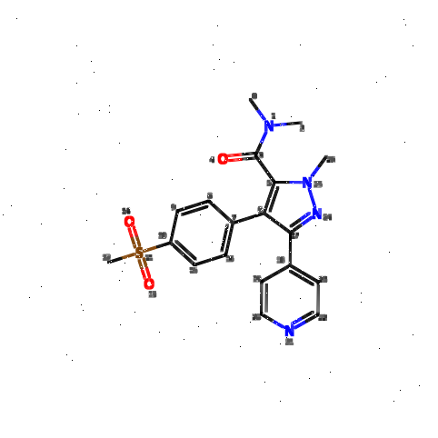 CN(C)C(=O)c1c(-c2ccc(S(C)(=O)=O)cc2)c(-c2ccncc2)nn1C